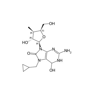 C[C@@H]1[C@@H](O)[C@H](n2c3c(n(CC4CC4)c2=O)C(O)NC(N)=N3)O[C@@H]1CO